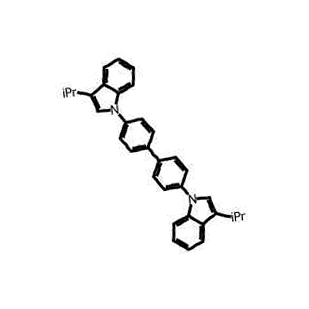 CC(C)c1cn(-c2ccc(-c3ccc(-n4cc(C(C)C)c5ccccc54)cc3)cc2)c2ccccc12